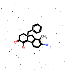 Cc1c(N)ccc2c1CC1(Cc3ccccc3)CCC(=O)C(Br)=C21